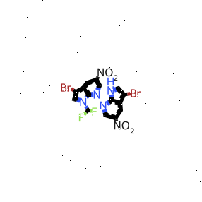 O=[N+]([O-])c1cnc2[nH]cc(Br)c2c1.O=[N+]([O-])c1cnc2c(c1)c(Br)cn2C(F)F